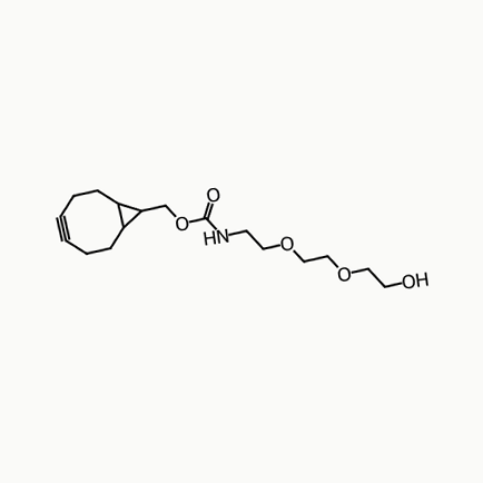 O=C(NCCOCCOCCO)OCC1C2CCC#CCCC21